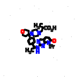 C=C(CN1CCN(C2(c3ccc([C@H](C)Nc4ncc5ccc(=O)n(C(C)C)c5n4)cc3)CCOCC2)CC1)C(=O)O